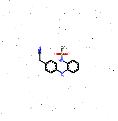 CS(=O)(=O)Nc1ccccc1Nc1ccc(CC#N)cc1